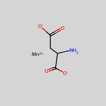 NC(CC(=O)[O-])C(=O)[O-].[Mn+2]